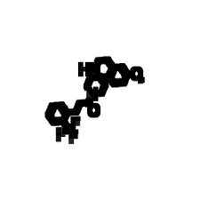 COc1ccc2c(c1)CCNC21CCN(C(=O)CCc2ccccc2C(F)(F)F)CC1